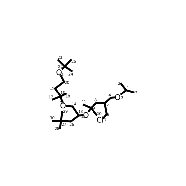 CC(C)OCC(CCl)CC(C)(C)OC(COC(C)(C)CCOC(C)(C)C)CC(C)(C)C